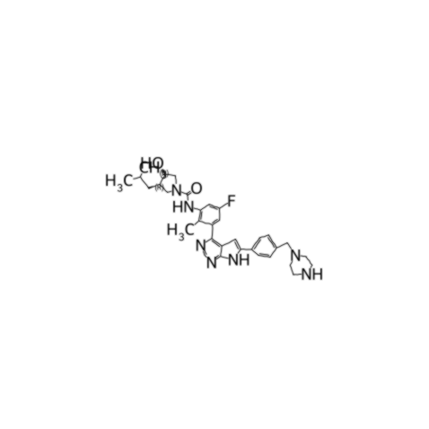 Cc1c(NC(=O)N2C[C@@H](CC(C)C)[C@@H](O)C2)cc(F)cc1-c1ncnc2[nH]c(-c3ccc(CN4CCNCC4)cc3)cc12